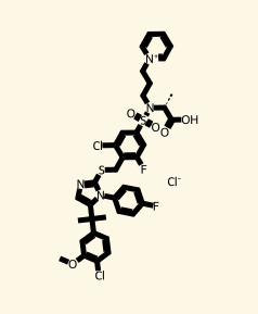 COc1cc(C(C)(C)c2cnc(SCc3c(F)cc(S(=O)(=O)N(CCC[n+]4ccccc4)[C@H](C)C(=O)O)cc3Cl)n2-c2ccc(F)cc2)ccc1Cl.[Cl-]